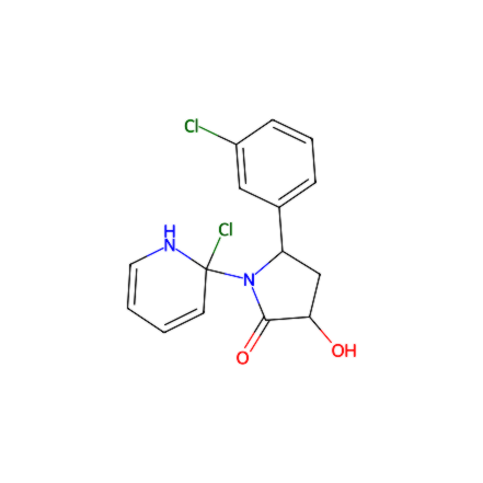 O=C1C(O)CC(c2cccc(Cl)c2)N1C1(Cl)C=CC=CN1